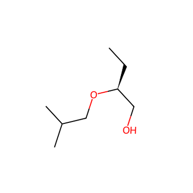 CC[C@@H](CO)OCC(C)C